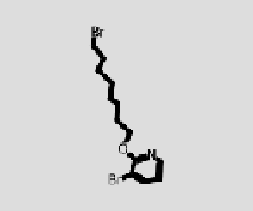 BrCCCCCCCCOc1ncccc1Br